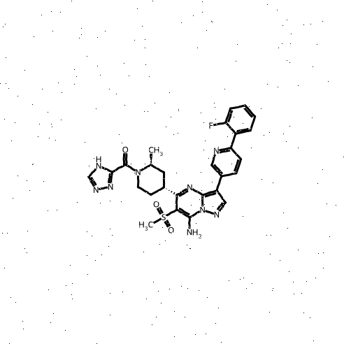 C[C@H]1C[C@H](c2nc3c(-c4ccc(-c5ccccc5F)nc4)cnn3c(N)c2S(C)(=O)=O)CCN1C(=O)c1nnc[nH]1